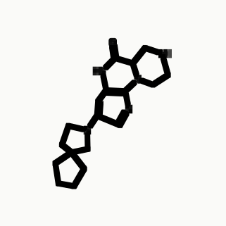 O=C1Nc2cc(N3CCC4(CCCC4)C3)cnc2N2CCNCC12